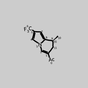 CC(=O)C1=Cn2cc(C(F)(F)F)cc2[C@@H](C)C1